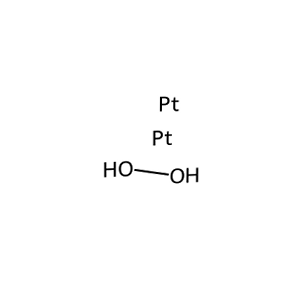 OO.[Pt].[Pt]